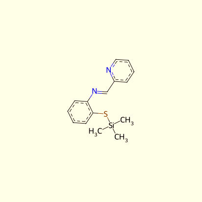 C[Si](C)(C)Sc1ccccc1/N=C/c1ccccn1